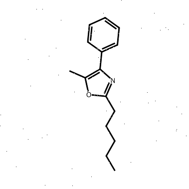 CCCCCc1nc(-c2ccccc2)c(C)o1